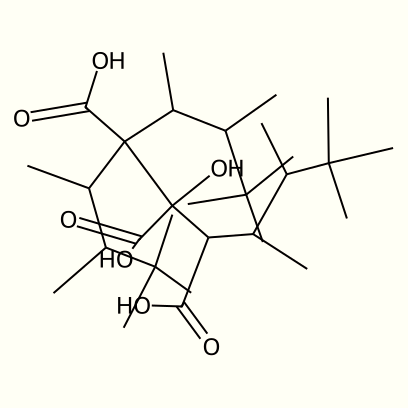 CC(C(C)C(C)(C)C)C(C(=O)O)C(O)(C(=O)O)C(C(=O)O)(C(C)C(C)C(C)(C)C)C(C)C(C)C(C)(C)C